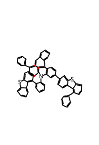 c1ccc(-c2ccc(N(c3cc(-c4ccc5c(c4)sc4cccc(-c6ccccc6)c45)ccc3-c3cccc4ccccc34)c3ccccc3-c3cccc4sc5ccccc5c34)cc2)cc1